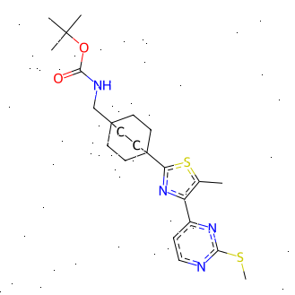 CSc1nccc(-c2nc(C34CCC(CNC(=O)OC(C)(C)C)(CC3)CC4)sc2C)n1